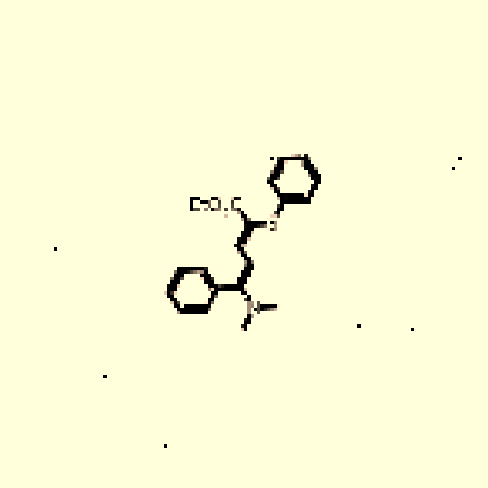 CCOC(=O)/C(=C/C=C(\c1ccccc1)N(C)C)Sc1ccccc1